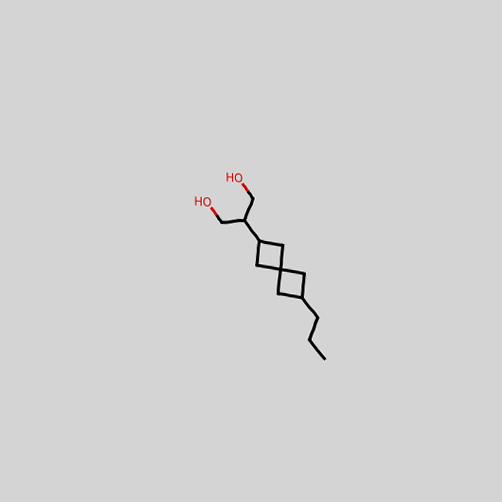 CCCC1CC2(C1)CC(C(CO)CO)C2